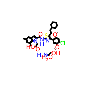 COc1cc(-c2nc(NC(=O)c3cc4cc(C)cc(C)c4n3CC(=O)O)sc2CCC2CCCCC2)c(OC)cc1Cl.NCCO.O